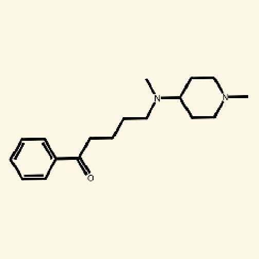 CN1CCC(N(C)CCCCC(=O)c2ccccc2)CC1